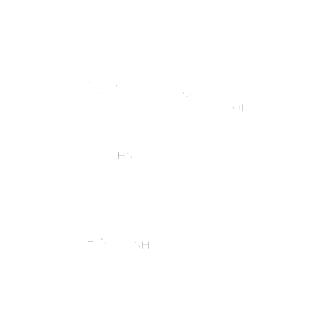 N=C(N)c1ccc(NC(=O)c2cc(OCC(=O)O)ccc2-c2ccccc2C(=O)O)cc1